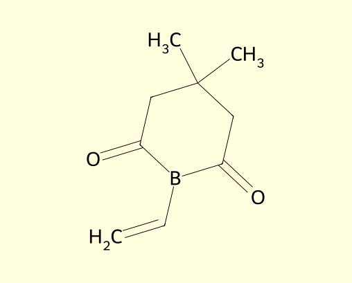 C=CB1C(=O)CC(C)(C)CC1=O